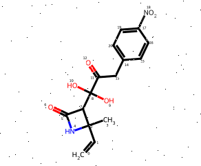 C=CC1(C)NC(=O)C1C(O)(O)C(=O)Cc1ccc([N+](=O)[O-])cc1